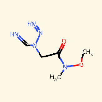 CON(C)C(=O)CN(C=N)N=N